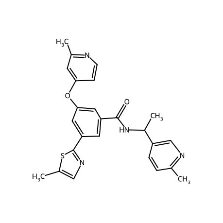 Cc1ccc(C(C)NC(=O)c2cc(Oc3ccnc(C)c3)cc(-c3ncc(C)s3)c2)cn1